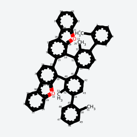 Cc1ccccc1-c1ccc2c(c1C)-c1c(ccc3c1oc1ccccc13)-c1ccc3c(oc4ccccc43)c1-c1c-2ccc(-c2ccccc2C)c1C